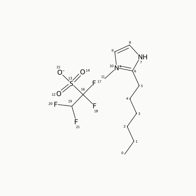 CCCCCCc1[nH]cc[n+]1C.O=S(=O)([O-])C(F)(F)C(F)F